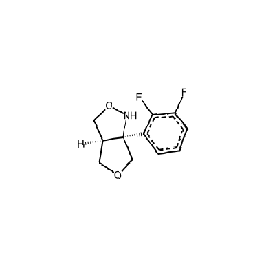 Fc1cccc([C@]23COC[C@H]2CON3)c1F